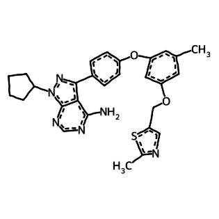 Cc1cc(OCc2cnc(C)s2)cc(Oc2ccc(-c3nn(C4CCCC4)c4ncnc(N)c34)cc2)c1